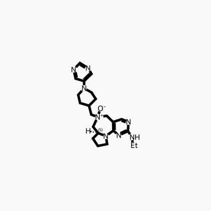 CCNc1ncc2c(n1)N1CCC[C@H]1C[N+]([O-])(CC1CCN(c3cncnc3)CC1)C2